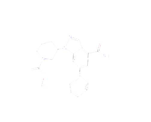 CC(C)(C)OC(=O)N1CCCC(n2ncc3c(C(N)=O)cc(-c4ccccc4)cc32)C1